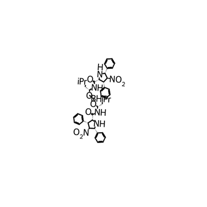 CC(C)C[C@H](NC(=O)[C@@H]1N[C@H](c2ccccc2)[C@@H]([N+](=O)[O-])[C@@H]1c1ccccc1)OBO[C@H](CC(C)C)NC(=O)[C@@H]1N[C@H](c2ccccc2)[C@@H]([N+](=O)[O-])[C@@H]1c1ccccc1